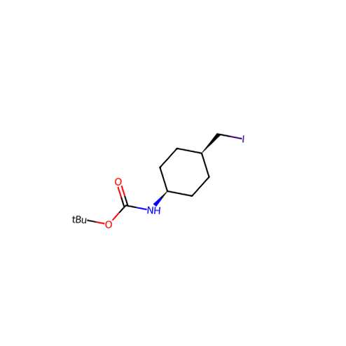 CC(C)(C)OC(=O)N[C@H]1CC[C@@H](CI)CC1